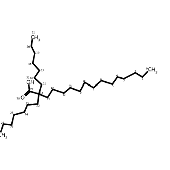 CCCCCCCCCCCCCCC(CCCCCCC)(CCCCCCC)C(=O)O